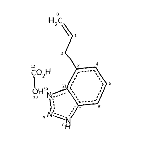 C=CCc1cccc2[nH]nnc12.O=C(O)O